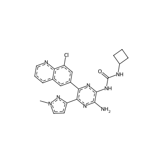 Cn1ccc(-c2nc(N)c(NC(=O)NC3CCC3)nc2-c2cc(Cl)c3ncccc3c2)n1